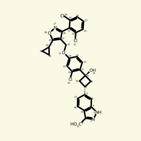 O=C(O)c1n[nH]c2cc([C@H]3C[C@@](O)(c4ccc(OCc5c(-c6c(Cl)cccc6Cl)noc5C5CC5)cc4Cl)C3)ccc12